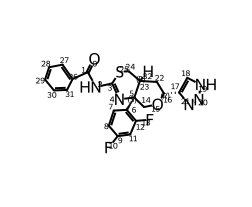 O=C(NC1=N[C@@]2(c3ccc(F)cc3F)CO[C@@H](c3c[nH]nn3)C[C@H]2CS1)c1ccccc1